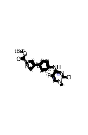 C=N/C=C(F)\C(=N/CCl)Nc1ccc(-c2cnn(C(=O)OC(C)(C)C)c2)cc1